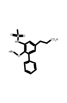 CCCCOc1c(NS(C)(=O)=O)cc(CCC(=O)O)cc1-c1ccccc1